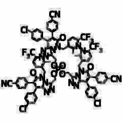 Cc1nc(C(F)(F)F)ccc1Cn1c(=O)c(-c2ccc(C#N)cc2)c(-c2ccc(Cl)cc2)c2nnc(COP(=O)(OCc3nnc4c(-c5ccc(Cl)cc5)c(-c5ccc(C#N)cc5)c(=O)n(Cc5ccc(C(F)(F)F)nc5C)n34)OCc3nnc4c(-c5ccc(Cl)cc5)c(-c5ccc(C#N)cc5)c(=O)n(Cc5ccc(C(F)(F)F)nc5C)n34)n21